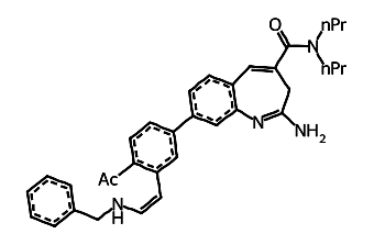 CCCN(CCC)C(=O)C1=Cc2ccc(-c3ccc(C(C)=O)c(/C=C\NCc4ccccc4)c3)cc2N=C(N)C1